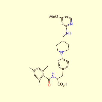 COc1ccnc(NCC2CCN(c3ccc(CC(NC(=O)c4c(C)cc(C)cc4C)C(=O)O)cc3)CC2)c1